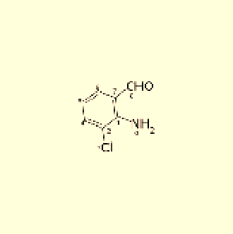 Nc1c(Cl)cccc1C=O